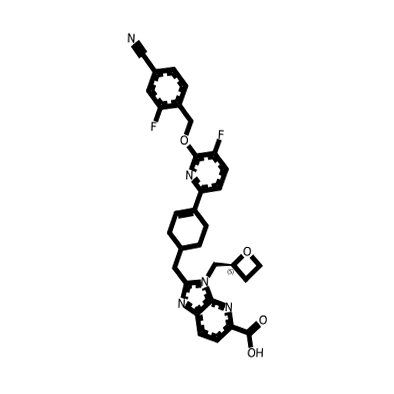 N#Cc1ccc(COc2nc(C3=CCC(Cc4nc5ccc(C(=O)O)nc5n4C[C@@H]4CCO4)CC3)ccc2F)c(F)c1